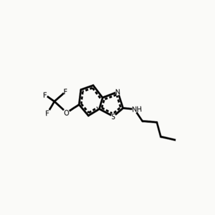 CCCCNc1nc2ccc(OC(F)(F)F)cc2s1